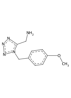 COc1ccc(Cn2nnnc2CN)cc1